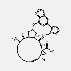 Cn1nccc1-c1nc(O[C@@H]2C[C@H]3C(=O)N[C@]4(C(=O)O)C[C@H]4C=CCCCCCC(N)C(=O)N3C2)c2sccc2n1